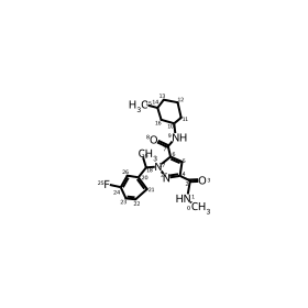 CNC(=O)c1cc(C(=O)NC2CCCC(C)C2)n(C(C)c2cccc(F)c2)n1